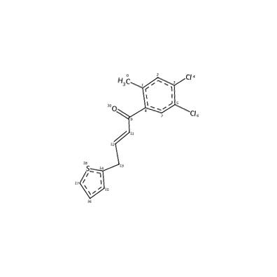 Cc1cc(Cl)c(Cl)cc1C(=O)/C=C/Cc1cccs1